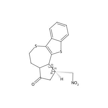 O=C1C[C@H]2[C@H](C[N+](=O)[O-])CC[C@]23c2sc4ccccc4c2SCCC13